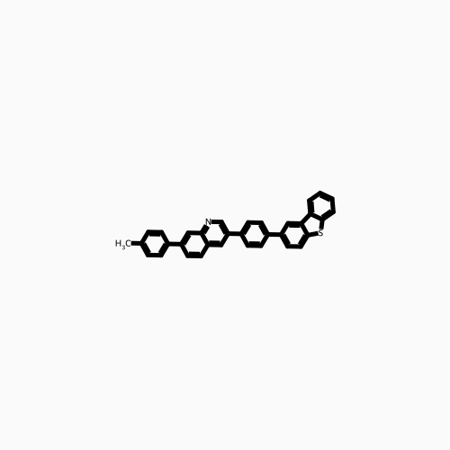 Cc1ccc(-c2ccc3cc(-c4ccc(-c5ccc6sc7ccccc7c6c5)cc4)cnc3c2)cc1